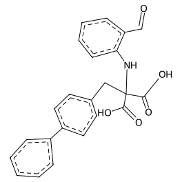 O=Cc1ccccc1NC(Cc1ccc(-c2ccccc2)cc1)(C(=O)O)C(=O)O